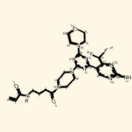 C=CC(=O)NCCCC(=O)N1CCN(c2nc(-c3cnc(N)nc3C(F)F)nc(N3CCOCC3)n2)CC1